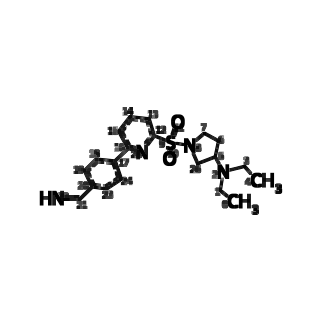 CCN(CC)C1CCN(S(=O)(=O)c2cccc(-c3ccc(C=N)cc3)n2)C1